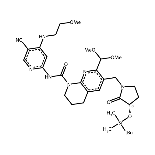 COCCNc1cc(NC(=O)N2CCCc3cc(CN4CC[C@H](O[Si](C)(C)C(C)(C)C)C4=O)c(C(OC)OC)nc32)ncc1C#N